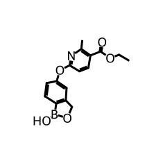 CCOC(=O)c1ccc(Oc2ccc3c(c2)COB3O)nc1C